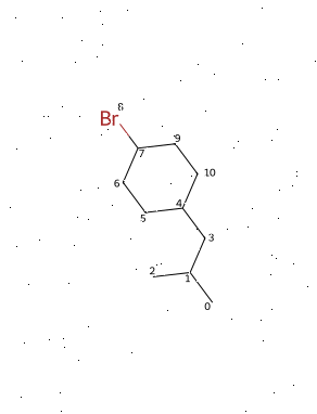 CC(C)CC1CCC(Br)CC1